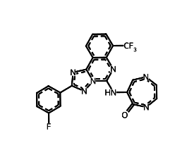 O=c1nccncc1Nc1nc2c(C(F)(F)F)cccc2c2nc(-c3cccc(F)c3)nn12